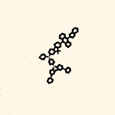 CC1(C)c2cc(-c3c4ccccc4c(-c4ccc5ccccc5c4)c4ccccc34)ccc2-c2ccc(N(c3ccccc3)c3ccc(-n4c5ccc(-c6ccccc6)cc5c5cc(-c6ccccc6)ccc54)cc3)cc21